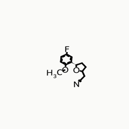 COc1ccc(F)cc1[C@@H]1CCC(CC#N)O1